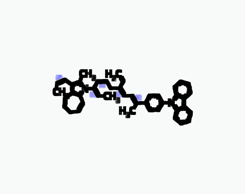 C=C/C(=C\C=C(/C)c1ccc(-n2c3ccccc3c3ccccc32)cc1)C/C=C\C(=C/C)n1c(C)c(/C=C\C)c2c1C=CCC=C2